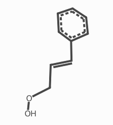 OOCC=Cc1ccccc1